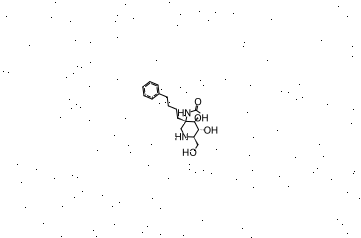 CC(=O)N[C@@]1(CCCCc2ccccc2)CN[C@H](CO)[C@@H](O)[C@@H]1O